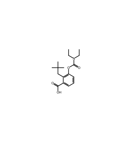 CCN(CC)C(=O)Oc1cccc(C(=O)O)c1CC(C)(C)C